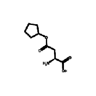 N[C@@H](CC(=O)OC1CCCC1)C(=O)O